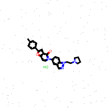 Cc1ccc(-c2cc3c(=O)n(-c4ccc5c(cnn5CCN5CCCC5)c4)ccc3o2)cc1.Cl